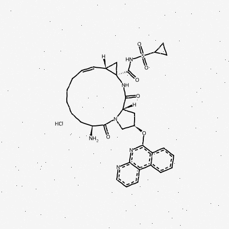 Cl.N[C@H]1CCCCCC=C[C@@H]2C[C@@]2(C(=O)NS(=O)(=O)C2CC2)NC(=O)[C@@H]2C[C@@H](Oc3nc4ncccc4c4ccccc34)CN2C1=O